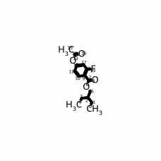 CCC(CC)COC(=O)c1ccc(OC(C)=O)cc1F